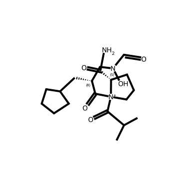 CC(C)C(=O)[N+]1(C(=O)[C@H](CC2CCCC2)CN(O)C=O)CCC[C@H]1C(N)=O